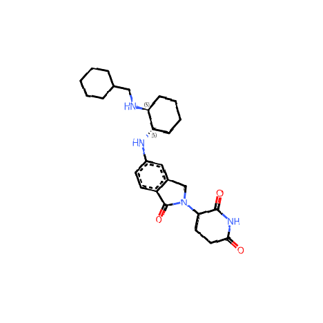 O=C1CCC(N2Cc3cc(N[C@H]4CCCC[C@@H]4NCC4CCCCC4)ccc3C2=O)C(=O)N1